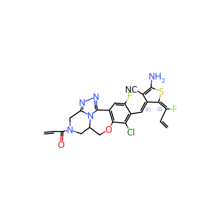 C=CC(=O)N1Cc2nnc3n2C(COc2c-3cc(F)c(/C=c3\c(C#N)c(N)s\c3=C(/F)C=C)c2Cl)C1